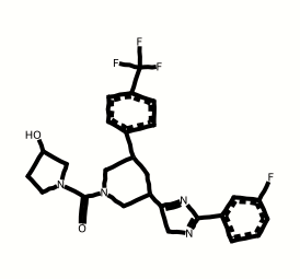 O=C(N1CCC(O)C1)N1CC(C2=NC(c3cccc(F)c3)=NC2)CC(c2ccc(C(F)(F)F)cc2)C1